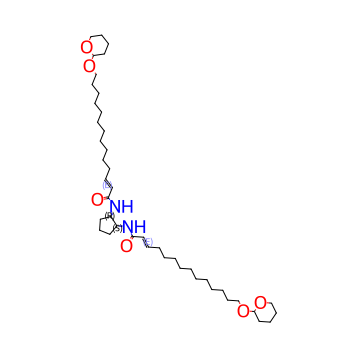 O=C(/C=C/CCCCCCCCCCCOC1CCCCO1)N[C@H]1CCC[C@H]1NC(=O)/C=C/CCCCCCCCCCCOC1CCCCO1